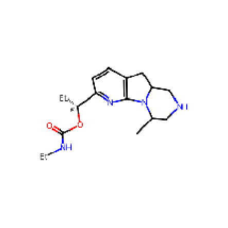 CCNC(=O)O[C@H](CC)c1ccc2c(n1)N1C(C)CNCC1C2